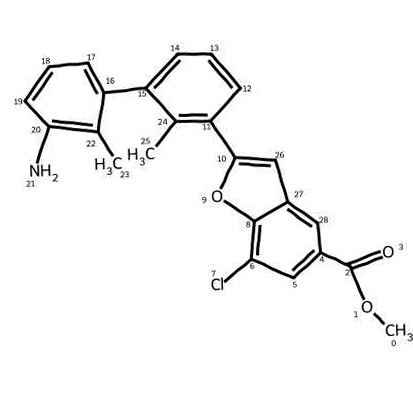 COC(=O)c1cc(Cl)c2oc(-c3cccc(-c4cccc(N)c4C)c3C)cc2c1